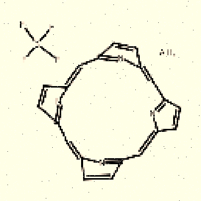 C1=CC2=NC1=CC1=NC(=CC3=NC(=CC4=NC(=C2)C=C4)C=C3)C=C1.F[B-](F)(F)F.[AlH3]